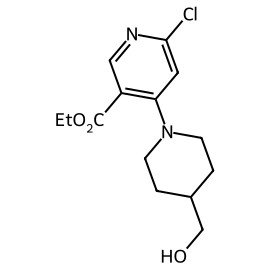 CCOC(=O)c1cnc(Cl)cc1N1CCC(CO)CC1